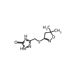 CC1(C)CC(SCc2n[nH]c(=O)[nH]2)=NO1